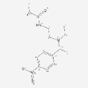 CCN(CCNC(=O)OC)C(C)c1ccc([N+](=O)[O-])cc1